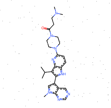 CC(C)c1c(-c2cn(C)c3ncncc23)[nH]c2ccc(N3CCN(C(=O)CCN(C)C)CC3)nc12